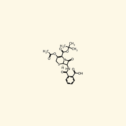 CC(=O)OC1=C(C(=O)OC(C)(C)C)N2C(=O)C(NC(=O)c3ccccc3C(=O)O)[C@H]2SC1